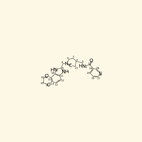 O=C(NCC1CCN(CC2Nc3ccc4c(c3N2)OCCO4)CC1)c1cccnc1